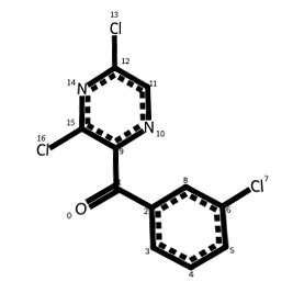 O=C(c1cccc(Cl)c1)c1ncc(Cl)nc1Cl